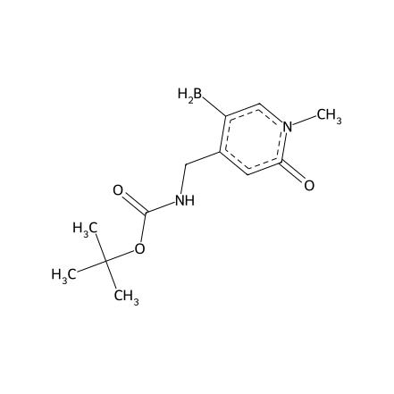 Bc1cn(C)c(=O)cc1CNC(=O)OC(C)(C)C